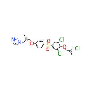 C[C@H](CCl)COc1c(Cl)cc(S(=O)(=O)c2ccc(OC[C@H](C)Cn3ccnc3)cc2)cc1Cl